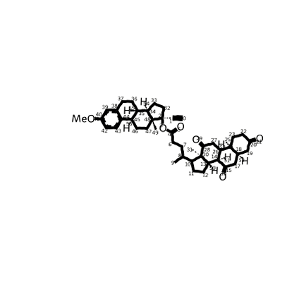 C#C[C@@]1(OC(=O)CCC(C)C2CC[C@H]3[C@@H]4C(=O)C[C@@H]5CC(=O)CC[C@]5(C)[C@H]4CC(=O)[C@]23C)CC[C@@H]2[C@H]3CCc4cc(OC)ccc4[C@@H]3CC[C@]21C